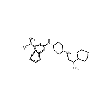 CC(CN[C@H]1CC[C@@H](Nc2nc(N(C)C)c3ccccc3n2)CC1)C1CCCCC1